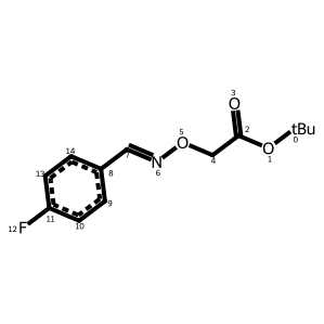 CC(C)(C)OC(=O)CO/N=C/c1ccc(F)cc1